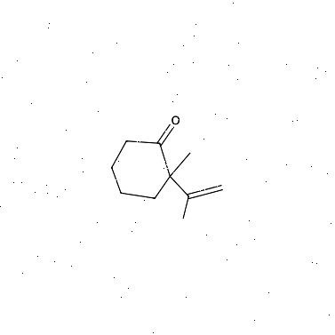 C=C(C)C1(C)CCCCC1=O